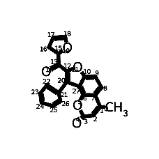 Cc1cc(=O)oc2c1ccc1oc(C(=O)C3CC=CO3)c(-c3ccccc3)c12